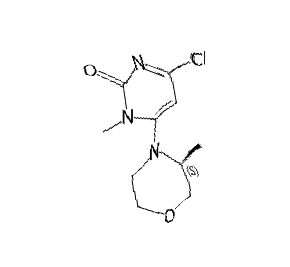 C[C@H]1COCCN1c1cc(Cl)nc(=O)n1C